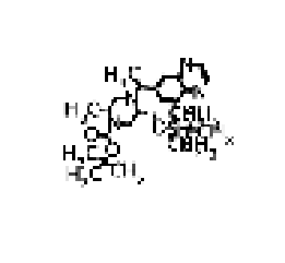 CC(c1ccc2nccnc2c1)N1C[C@H](C)N(C(=O)OC(C)(C)C)C[C@H]1CO[Si](C)(C)C(C)(C)C